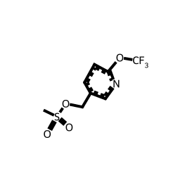 CS(=O)(=O)OCc1ccc(OC(F)(F)F)nc1